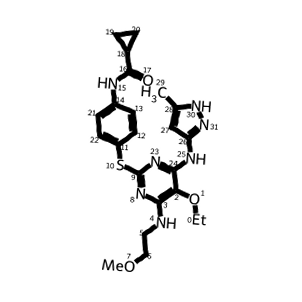 CCOc1c(NCCOC)nc(Sc2ccc(NC(=O)C3CC3)cc2)nc1Nc1cc(C)[nH]n1